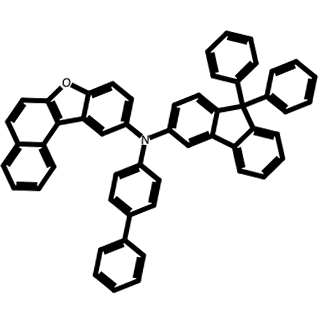 c1ccc(-c2ccc(N(c3ccc4c(c3)-c3ccccc3C4(c3ccccc3)c3ccccc3)c3ccc4oc5ccc6ccccc6c5c4c3)cc2)cc1